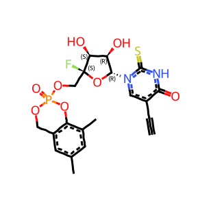 C#Cc1cn([C@@H]2O[C@](F)(COP3(=O)OCc4cc(C)cc(C)c4O3)[C@@H](O)[C@H]2O)c(=S)[nH]c1=O